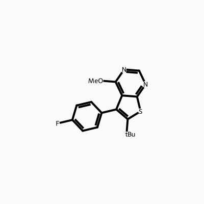 COc1ncnc2sc(C(C)(C)C)c(-c3ccc(F)cc3)c12